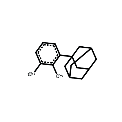 CC(C)(C)c1cccc(C23CC4CC(CC(C4)C2)C3)c1O